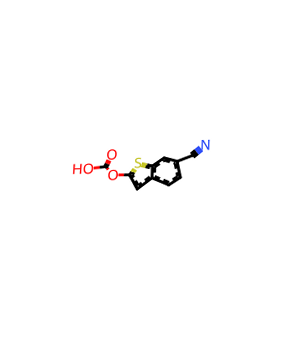 N#Cc1ccc2cc(OC(=O)O)sc2c1